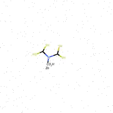 O=C(O)N(C(S)S)C(S)S.[Zn]